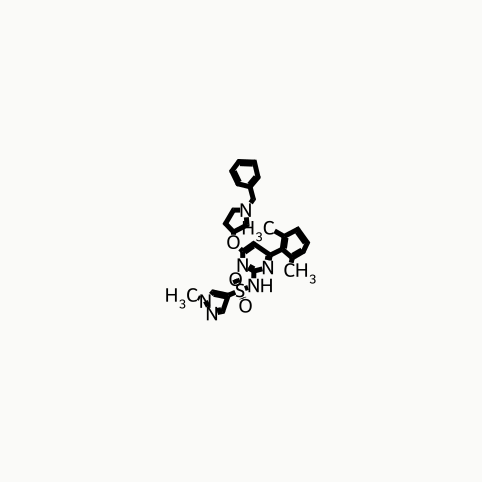 Cc1cccc(C)c1-c1cc(OC2CCN(Cc3ccccc3)C2)nc(NS(=O)(=O)c2cnn(C)c2)n1